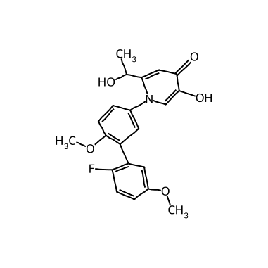 COc1ccc(F)c(-c2cc(-n3cc(O)c(=O)cc3C(C)O)ccc2OC)c1